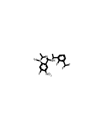 [2H]N1c2cc(F)c([N+](=O)[O-])cc2C(NC(C)c2cccc(C(F)F)c2F)=NC1C